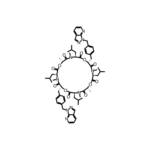 CC(C)C[C@H]1C(=O)O[C@H](Cc2ccc(Cn3ncc4cccnc43)cc2)C(=O)N(C)[C@@H](CC(C)C)C(=O)O[C@H](C)C(=O)N(C)[C@@H](CC(C)C)C(=O)O[C@H](Cc2ccc(Cn3ncc4cccnc43)cc2)C(=O)N(C)[C@@H](CC(C)C)C(=O)O[C@H](C)C(=O)N1C